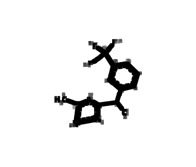 Cn1nnc(C(Cl)c2cccc(C(F)(F)F)c2)n1